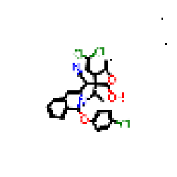 CC(C)C(C=C(Cl)Cl)C(C(=O)O)(C(C)C)C(C#N)c1cc2ccccc2c(Oc2ccc(Cl)cc2)n1